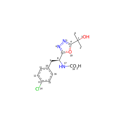 CC(C)(O)c1nnc([C@H](Cc2ccc(Cl)cc2)NC(=O)O)o1